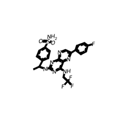 CC(Nc1nc(NCC(F)(F)F)c2nc(-c3ccc(F)cc3)cnc2n1)c1ccc(S(N)(=O)=O)cc1